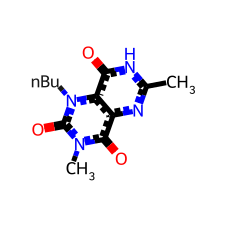 CCCCn1c(=O)n(C)c(=O)c2nc(C)[nH]c(=O)c21